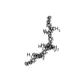 CCC(C)(CC(O)COC1CCC(COC(CN)C(C)(C)C(C)(CC)OCC2CCC(OCC(O)CC(C)(CC)OCC3CCC(OCC4CO4)CC3)CC2)CC1)OCC1CCC(OCC2CO2)CC1